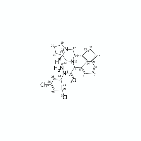 NN(C(=O)C(c1cccc2ccccc12)N1CCN2CCC[C@H]2C1)c1cc(Cl)cc(Cl)c1